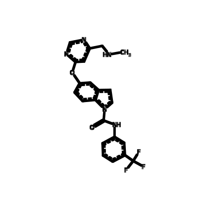 CNCc1cc(Oc2ccc3c(ccn3C(=O)Nc3cccc(C(F)(F)F)c3)c2)ncn1